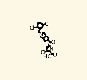 O=C(O)c1nn(C(=O)C2CC3CN(Cc4cc(Cl)ccc4Cl)CC3C2)cc1Cl